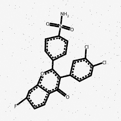 NS(=O)(=O)c1ccc(-c2oc3cc(F)ccc3c(=O)c2-c2ccc(Cl)c(Cl)c2)cc1